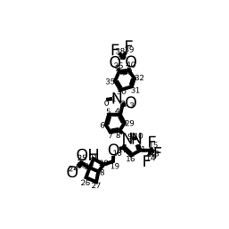 CN(C(=O)c1cccc(-n2nc(C(F)(F)F)cc2OCC2CC3(C(=O)O)CCC23)c1)c1ccc2c(c1)OC(F)(F)O2